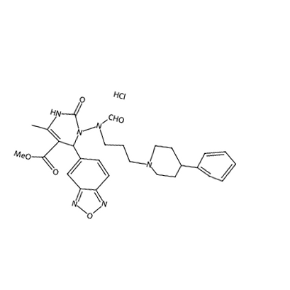 COC(=O)C1=C(C)NC(=O)N(N(C=O)CCCN2CCC(c3ccccc3)CC2)C1c1ccc2nonc2c1.Cl